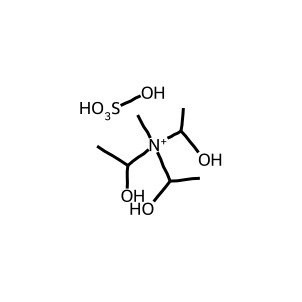 CC(O)[N+](C)(C(C)O)C(C)O.O=S(=O)(O)O